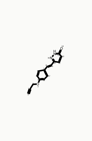 C#CCOc1ccc(/C=C/c2ccc(=O)[nH]n2)cc1